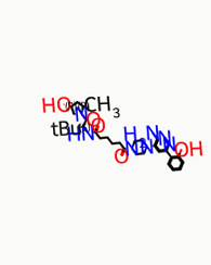 C[C@@H]1C[C@@H](O)CN1C(=O)[C@@H](NC(=O)CCCCC(=O)N1CCN(c2cc(-c3ccccc3O)nnc2N)CC1)C(C)(C)C